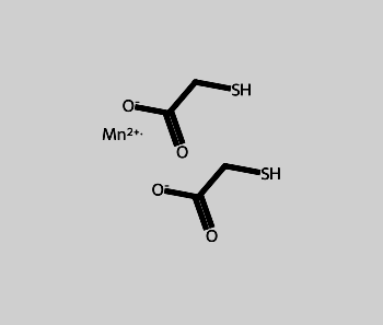 O=C([O-])CS.O=C([O-])CS.[Mn+2]